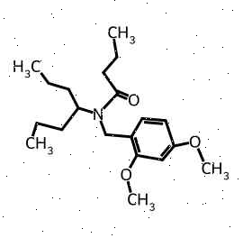 CCCC(=O)N(Cc1ccc(OC)cc1OC)C(CCC)CCC